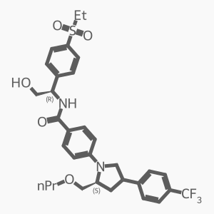 CCCOC[C@@H]1CC(c2ccc(C(F)(F)F)cc2)CN1c1ccc(C(=O)N[C@@H](CO)c2ccc(S(=O)(=O)CC)cc2)cc1